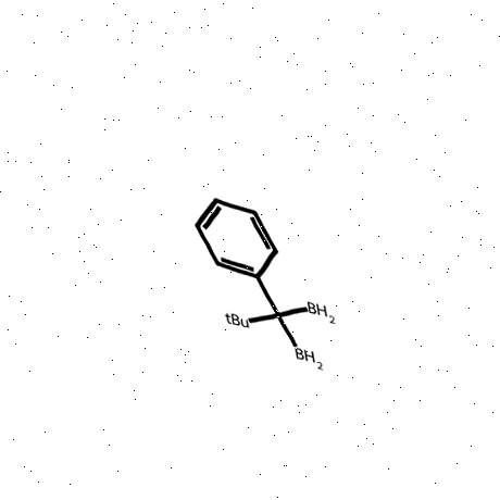 BC(B)(c1ccccc1)C(C)(C)C